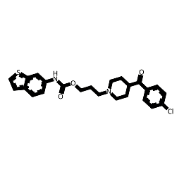 O=C(Nc1ccc2ccsc2c1)OCCCN1CCC(C(=O)c2ccc(Cl)cc2)CC1